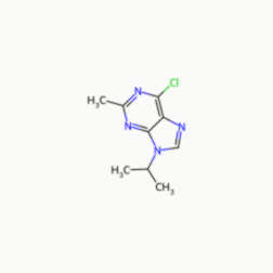 Cc1nc(Cl)c2ncn(C(C)C)c2n1